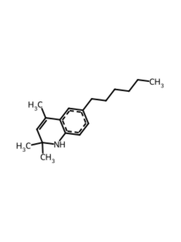 CCCCCCc1ccc2c(c1)C(C)=CC(C)(C)N2